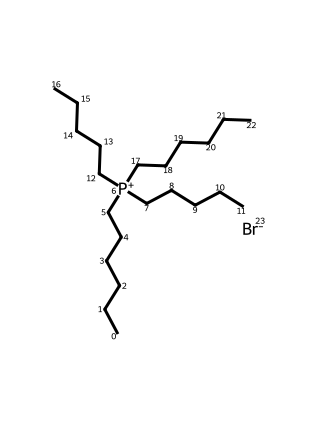 CCCCCC[P+](CCCCC)(CCCCC)CCCCCC.[Br-]